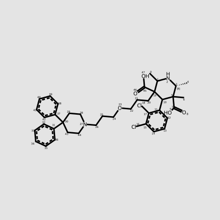 CC1N[C@H](C)C(C)(C(=O)O)C(c2cccc(Cl)c2Cl)C1(CCCOCCCN1CCC(c2ccccc2)(c2ccccc2)CC1)C(=O)O